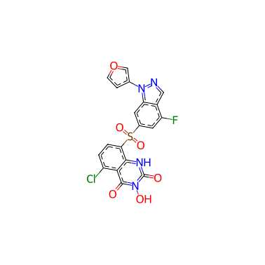 O=c1[nH]c2c(S(=O)(=O)c3cc(F)c4cnn(-c5ccoc5)c4c3)ccc(Cl)c2c(=O)n1O